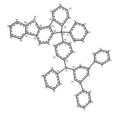 c1ccc(-c2cc(-c3ccccc3)cc(N(c3ccccc3)c3ccc(C4(c5ccccc5)c5ccccc5-c5c4ccc4c5sc5ccccc54)cc3)c2)cc1